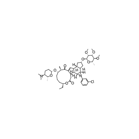 CC[C@H]1CCC[C@H](O[C@H]2CC[C@H](N(C)C)[C@@H](C)O2)[C@@H](C)C(=O)C2=C[C@H]3[C@@H]4C[C@H](O[C@@H]5O[C@@H](C)[C@H](OC)[C@@H](OC)[C@H]5OC)C[C@H]4[C@H]4[C@@H]([C@H]3[C@@H]2CC(=O)O1)N4c1cccc(Cl)c1